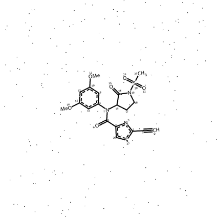 C#Cc1nc(C(=O)N(c2cc(OC)cc(OC)c2)C2CCN(S(C)(=O)=O)C2=O)cs1